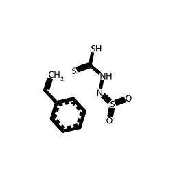 C=Cc1ccccc1.O=S(=O)=NNC(=S)S